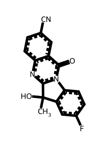 CC1(O)c2cc(F)ccc2-n2c1nc1ccc(C#N)cc1c2=O